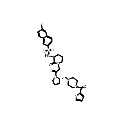 O=C(c1cccs1)N1CCN(C[C@@H]2CCCN2C(=O)CN2CCC[C@H](NS(=O)(=O)c3ccc4cc(Br)ccc4c3)C2=O)CC1